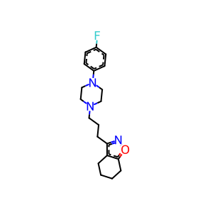 Fc1ccc(N2CCN(CCCc3noc4c3CCCC4)CC2)cc1